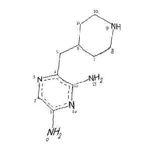 Nc1cnc(CC2CCNCC2)c(N)n1